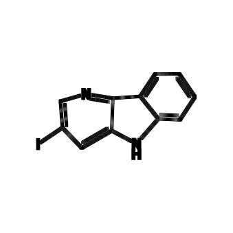 Ic1cnc2c(c1)[nH]c1ccccc12